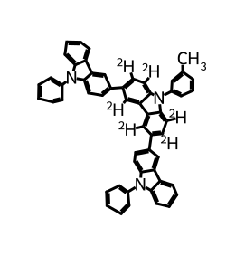 [2H]c1c(-c2ccc3c(c2)c2ccccc2n3-c2ccccc2)c([2H])c2c3c([2H])c(-c4ccc5c(c4)c4ccccc4n5-c4ccccc4)c([2H])c([2H])c3n(-c3cccc(C)c3)c2c1[2H]